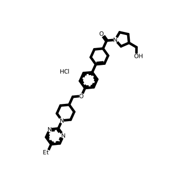 CCc1cnc(N2CCC(COc3ccc(C4=CCC(C(=O)N5CCC(CO)C5)CC4)cc3)CC2)nc1.Cl